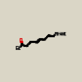 CCCCCCCCCC=CCCC(=O)CC